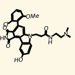 COc1cccc(Cl)c1-c1cc2c(c3c1C(=O)NC3=O)c1cc(O)ccc1n2CCC(=O)NCCN(C)C